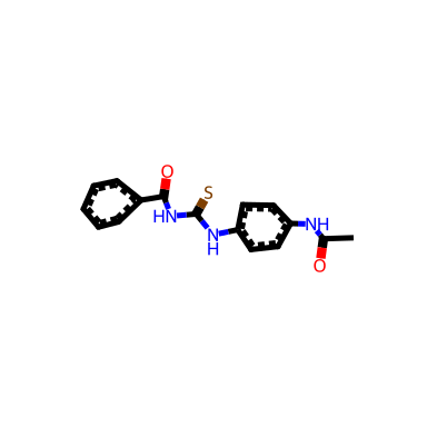 CC(=O)Nc1ccc(NC(=S)NC(=O)c2ccccc2)cc1